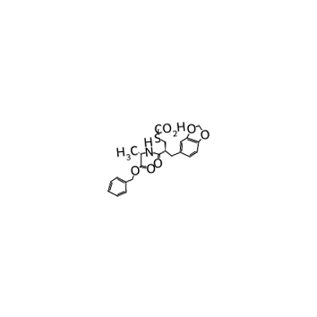 C[C@H](NC(=O)[C@@H](CSC(=O)O)Cc1ccc2c(c1)OCO2)C(=O)OCc1ccccc1